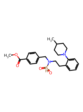 COC(=O)c1ccc(CN(CCc2ccccc2N2CCC(C)CC2)[SH](=O)=O)cc1